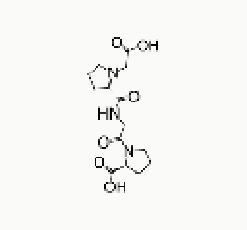 O=C(O)CN1CCC[C@H]1C(=O)NCC(=O)N1CCC[C@H]1C(=O)O